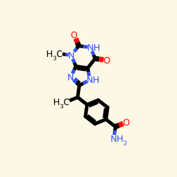 CC(c1ccc(C(N)=O)cc1)c1nc2c([nH]1)c(=O)[nH]c(=O)n2C